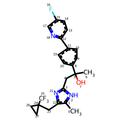 Cc1[nH]c(CC(C)(O)c2ccc(-c3ccc(F)cn3)cc2)nc1CC1(C(F)(F)F)CC1